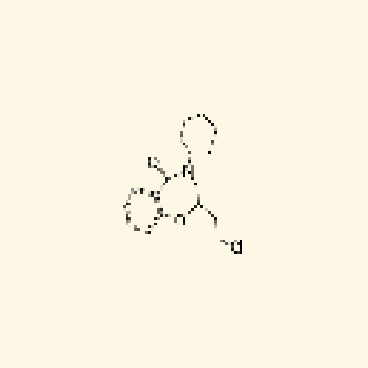 O=C1c2ccccc2OC(CCCl)CN1C1CCCCC1